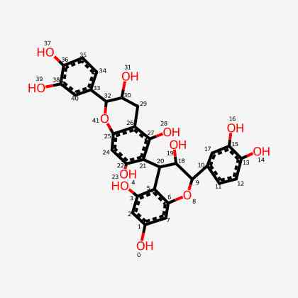 Oc1cc(O)c2c(c1)OC(c1ccc(O)c(O)c1)C(O)C2c1c(O)cc2c(c1O)CC(O)C(c1ccc(O)c(O)c1)O2